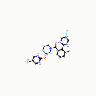 Cc1cccc(C(=O)N2CCC[C@@H](Oc3ncc(C(F)(F)F)cn3)C2)c1-c1ncc(F)cn1